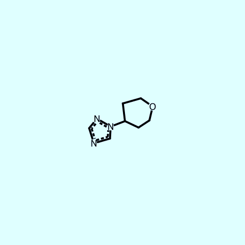 c1ncn(C2CCOCC2)n1